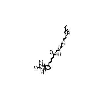 CCc1cn(CCOCCOCCNC(=O)CCCC[C@@H]2SC[C@]3(C)NC(=O)N[C@]23C)nn1